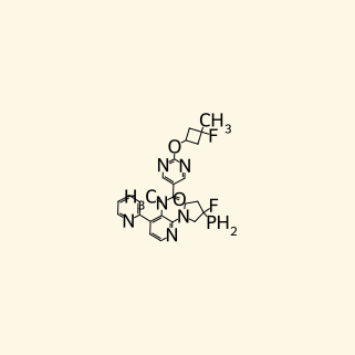 CN(C(=O)c1cnc(OC2CC(C)(F)C2)nc1)c1c(-c2ccccn2)ccnc1N1CCC(F)(P)C1